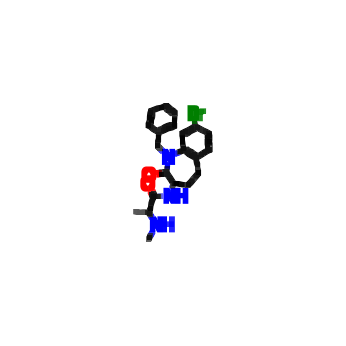 CNC(C)C(=O)NC1CCc2ccc(Br)cc2N(Cc2ccccc2)C1=O